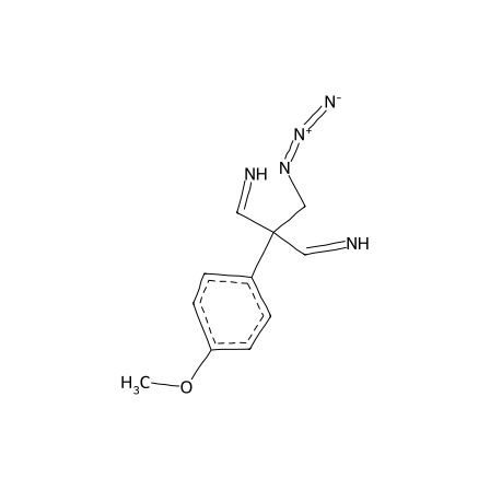 COc1ccc(C(C=N)(C=N)CN=[N+]=[N-])cc1